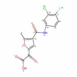 Cc1oc(C(=O)C(=O)O)cc1C(=O)Nc1ccc(F)c(Cl)c1